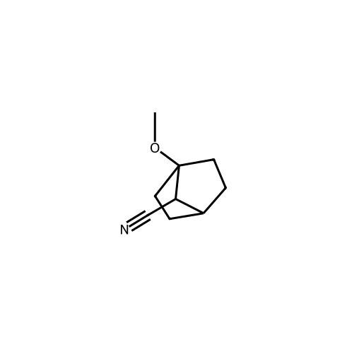 COC12CCC(CC1)C2C#N